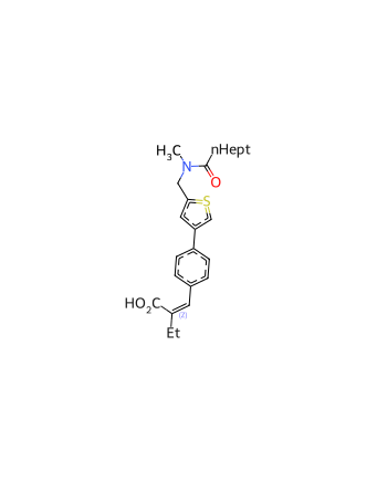 CCCCCCCC(=O)N(C)Cc1cc(-c2ccc(/C=C(/CC)C(=O)O)cc2)cs1